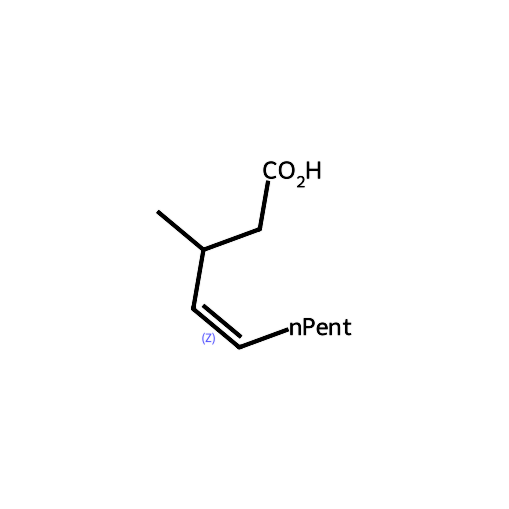 CCCCC/C=C\C(C)CC(=O)O